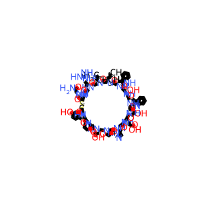 CCCC[C@H]1C(=O)N(C)[C@@H](CCC)C(=O)N[C@@H](CCCNC(=N)N)C(=O)N[C@H](C(=O)NCC(N)=O)CSCC(=O)N[C@@H](Cc2ccc(O)cc2)C(=O)N2CCCC[C@H]2C(=O)N[C@@H](CC(=O)O)C(=O)N2CCC[C@H]2C(=O)N[C@@H](Cc2cnc[nH]2)C(=O)N[C@@H](CCC(=O)O)C(=O)N2C[C@H](O)C[C@H]2C(=O)N[C@@H](Cc2c[nH]c3ccccc23)C(=O)N[C@@H](CO)C(=O)N[C@@H](Cc2c[nH]c3ccccc23)C(=O)N1C